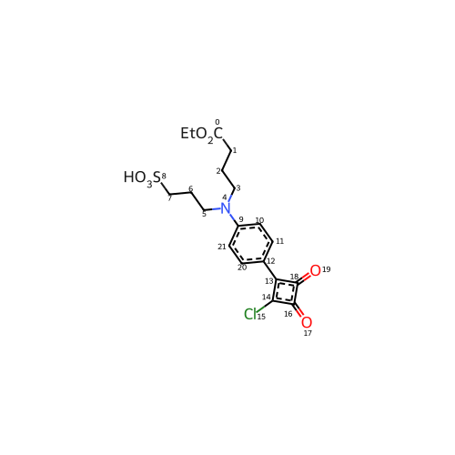 CCOC(=O)CCCN(CCCS(=O)(=O)O)c1ccc(-c2c(Cl)c(=O)c2=O)cc1